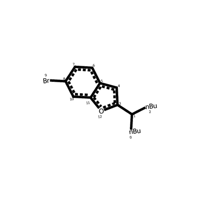 CCCCC(CCCC)c1cc2ccc(Br)cc2o1